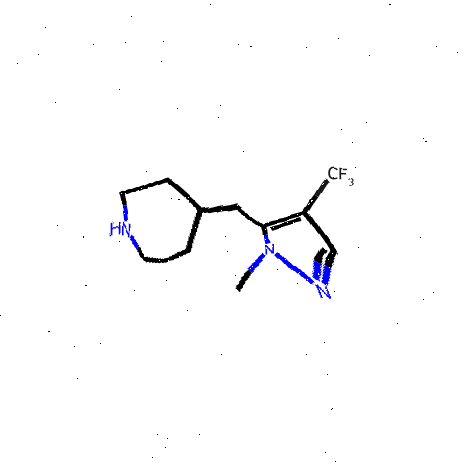 Cn1ncc(C(F)(F)F)c1CC1CCNCC1